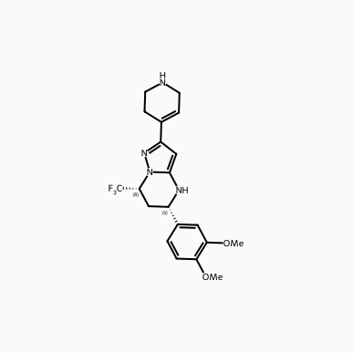 COc1ccc([C@@H]2C[C@H](C(F)(F)F)n3nc(C4=CCNCC4)cc3N2)cc1OC